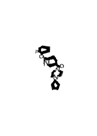 O=C(c1ccc(Oc2ccccc2F)nc1)N1CCN(C2CCCC2)CC1